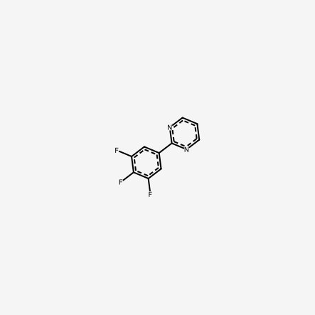 Fc1cc(-c2ncccn2)cc(F)c1F